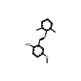 COc1ccc(O)c(C=Nc2c(C)c[c]cc2C)c1